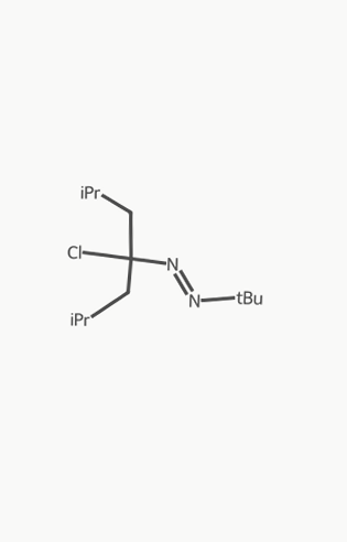 CC(C)CC(Cl)(CC(C)C)N=NC(C)(C)C